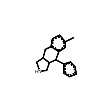 Cc1ccc2c(c1)C(c1ccccc1)C1CNCC1C2